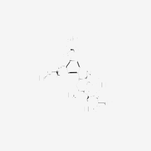 CC(C)OC(=O)Oc1ccc(C(CC(C)OC(=O)OC(C)C(C)C)[C@H](N)C(=O)O)cc1OC(=O)OC(C)C